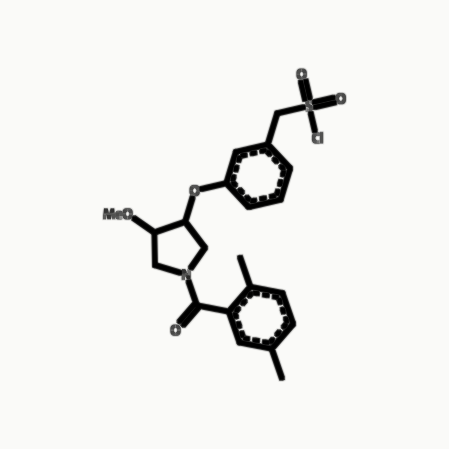 COC1CN(C(=O)c2cc(C)ccc2C)CC1Oc1cccc(CS(=O)(=O)Cl)c1